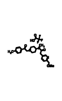 COCc1ccc(CC(=O)N(C)C2CCN(CC(=O)c3ccc(C)cc3)CC2)cn1.O=C(O)C(F)(F)F